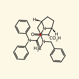 CN(Cc1ccccc1)C(=O)N1[C@H]2CC[C@@H]1[C@@H](C(=O)O)N(C(=O)N(c1ccccc1)c1ccccc1)C2